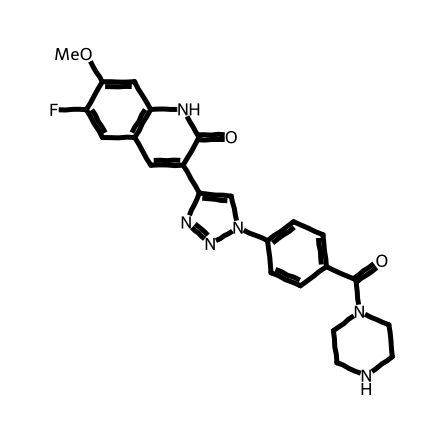 COc1cc2[nH]c(=O)c(-c3cn(-c4ccc(C(=O)N5CCNCC5)cc4)nn3)cc2cc1F